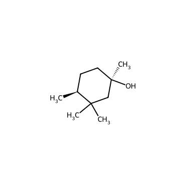 C[C@H]1CC[C@@](C)(O)CC1(C)C